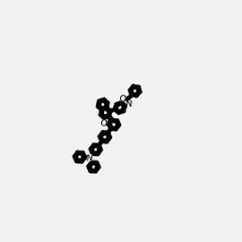 c1ccc(-c2nc3ccc(-c4c5ccccc5cc5oc6c(-c7ccc(-c8ccc(N(c9ccccc9)c9ccccc9)cc8)cc7)cccc6c45)cc3o2)cc1